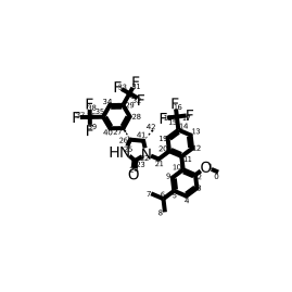 COc1ccc(C(C)C)cc1-c1ccc(C(F)(F)F)cc1CN1C(=O)N[C@H](c2cc(C(F)(F)F)cc(C(F)(F)F)c2)[C@@H]1C